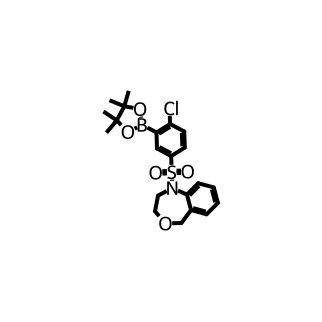 CC1(C)OB(c2cc(S(=O)(=O)N3CCOCc4ccccc43)ccc2Cl)OC1(C)C